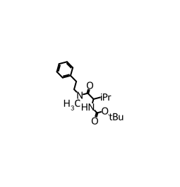 CC(C)C(NC(=O)OC(C)(C)C)C(=O)N(C)CCc1ccccc1